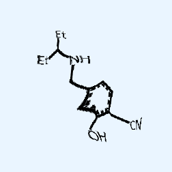 CCC(CC)NCc1ccc(C#N)c(O)c1